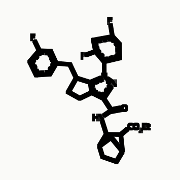 CCOC(=O)C1C2CCC(C2)C1NC(=O)c1nn(-c2ccc(F)cc2F)c2c1CCC2Cc1cccc(F)c1